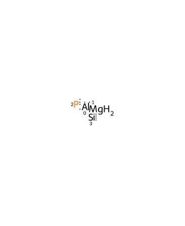 [Al].[MgH2].[P].[Si]